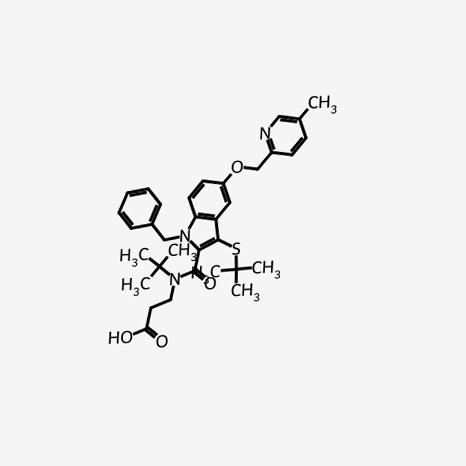 Cc1ccc(COc2ccc3c(c2)c(SC(C)(C)C)c(C(=O)N(CCC(=O)O)C(C)(C)C)n3Cc2ccccc2)nc1